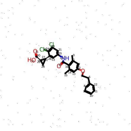 Cc1cc(OCCc2ccccc2)cc(C)c1C(=O)Nc1cc(Cl)c(Cl)c([C@H]2C[C@H]2C(=O)O)c1